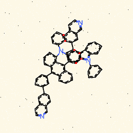 c1ccc(N(c2ccc3c(c2)c2ccccc2n3-c2ccccc2)c2cccc3c(-c4cccc(-c5ccc6cnccc6c5)c4)c4ccccc4c(-c4cccc(-c5ccc6ccncc6c5)c4)c23)cc1